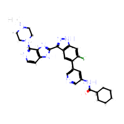 CN1CCN(c2nccc3[nH]c(-c4n[nH]c5cc(F)c(-c6cncc(NC(=O)C7CCCCC7)c6)cc45)nc23)CC1